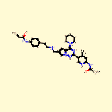 C=CC(=O)Nc1ccc(CCNCc2cc3c(N4CCCCC4)nc(-c4cnc(NC(=O)OC)cc4C(F)(F)F)nn3c2)cc1